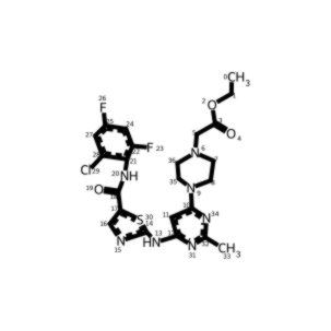 CCOC(=O)CN1CCN(c2cc(Nc3ncc(C(=O)Nc4c(F)cc(F)cc4Cl)s3)nc(C)n2)CC1